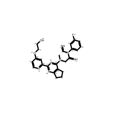 CN(CC(=N)N(C=N)c1cccc(F)c1)c1nc(-c2cc(OCCO)ccn2)nc2c1CCC2